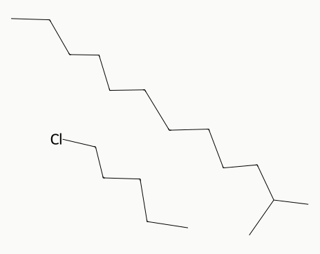 CCCCCCCCCCC(C)C.CCCCCCl